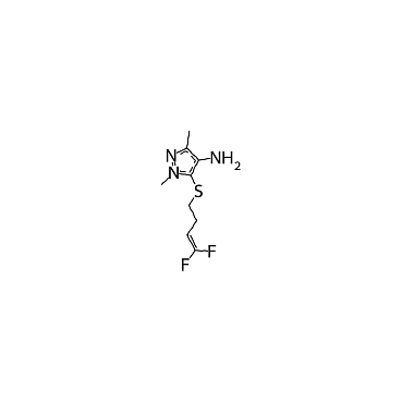 Cc1nn(C)c(SCCC=C(F)F)c1N